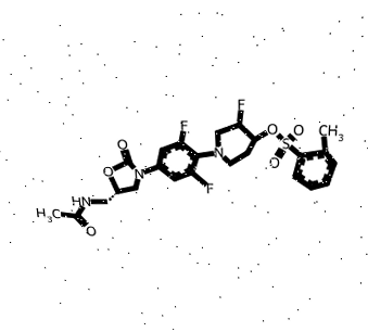 CC(=O)NC[C@H]1CN(c2cc(F)c(N3CCC(OS(=O)(=O)c4ccccc4C)C(F)C3)c(F)c2)C(=O)O1